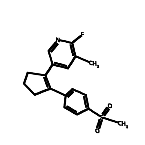 Cc1cc(C2=C(c3ccc(S(C)(=O)=O)cc3)CCC2)cnc1F